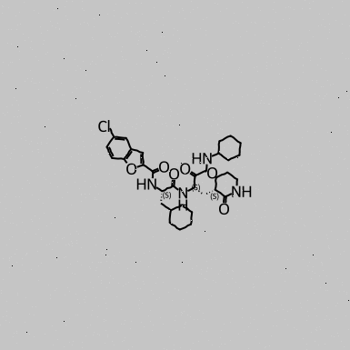 O=C(NC1CCCCC1)C(=O)[C@H](C[C@@H]1CCCNC1=O)NC(=O)[C@H](CC1CCCCC1)NC(=O)c1cc2cc(Cl)ccc2o1